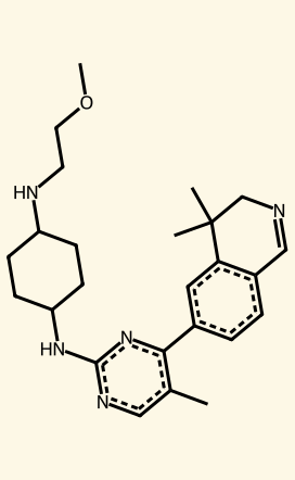 COCCNC1CCC(Nc2ncc(C)c(-c3ccc4c(c3)C(C)(C)CN=C4)n2)CC1